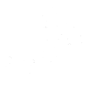 CC(c1cc2ccccc2[nH]1)N(Cc1ccc(CNC(=O)c2ccnc(Cl)c2)cc1)C1CCCc2cccnc21